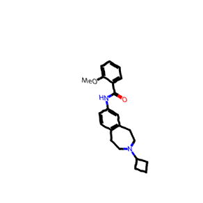 COc1ccccc1C(=O)Nc1ccc2c(c1)CCN(C1CCC1)CC2